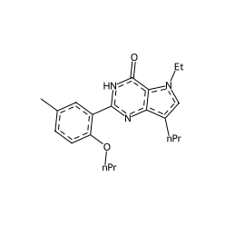 CCCOc1ccc(C)cc1-c1nc2c(CCC)cn(CC)c2c(=O)[nH]1